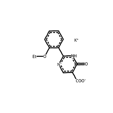 CCOc1ccccc1-c1ncc(C(=O)[O-])c(=O)[nH]1.[K+]